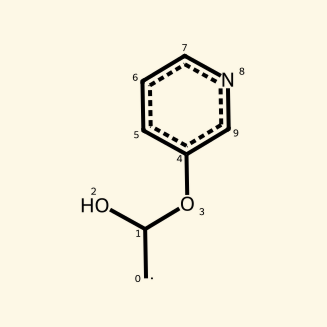 [CH2]C(O)Oc1cccnc1